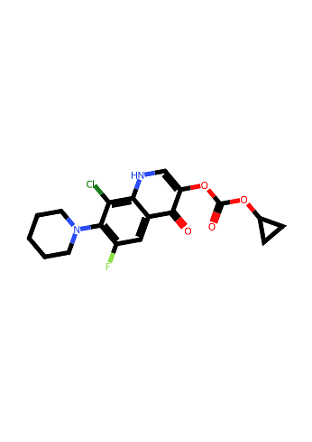 O=C(Oc1c[nH]c2c(Cl)c(N3CCCCC3)c(F)cc2c1=O)OC1CC1